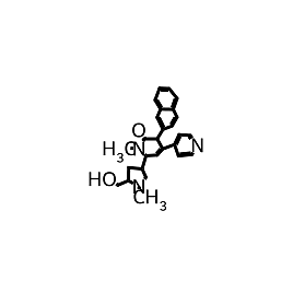 CN1CC(C2C=C(c3ccncc3)C(c3ccc4ccccc4c3)C(=O)N2C)CC1CO